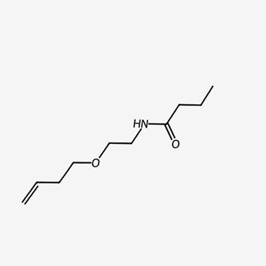 C=CCCOCCNC(=O)CCC